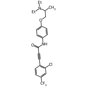 CCN(CC)C(C)COc1ccc(NC(=O)C#Cc2ccc(C(F)(F)F)cc2Cl)cc1